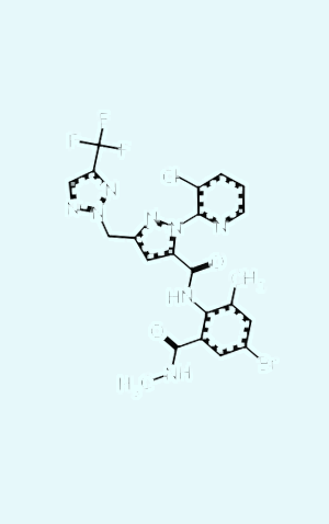 CNC(=O)c1cc(Br)cc(C)c1NC(=O)c1cc(Cn2ncc(C(F)(F)F)n2)nn1-c1ncccc1Cl